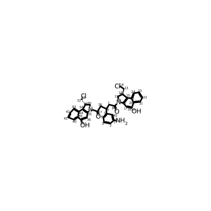 Nc1cccc(C(CC(=O)N2C[C@@H](CCl)c3c2cc(O)c2ccccc32)CC(=O)N2C[C@@H](CCl)c3c2cc(O)c2ccccc32)c1